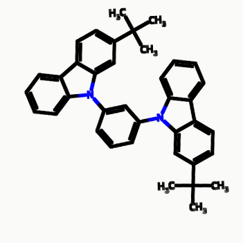 CC(C)(C)c1ccc2c3ccccc3n(-c3cccc(-n4c5ccccc5c5ccc(C(C)(C)C)cc54)c3)c2c1